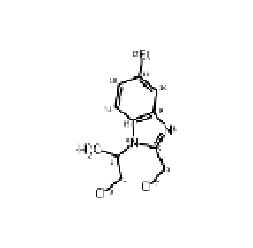 [CH2]C(CCl)n1c(CCl)nc2cc(CC)ccc21